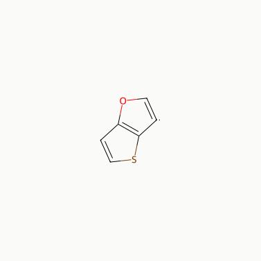 [c]1coc2ccsc12